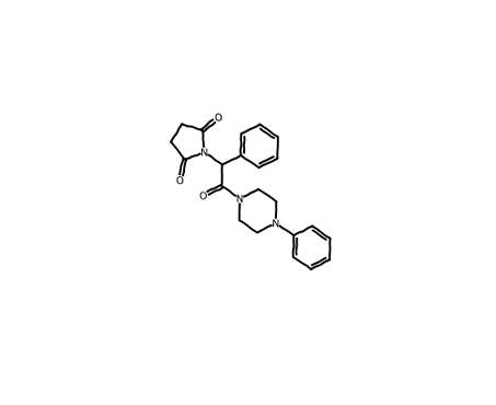 O=C(C(c1ccccc1)N1C(=O)CCC1=O)N1CCN(c2ccccc2)CC1